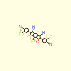 N#Cc1ccc(-c2c(C#N)c3c(F)c4c(C#N)c(-c5ccc(C#N)c(C(F)(F)F)c5)c(=O)c4c(C(F)(F)F)c3c2=O)cc1C(F)(F)F